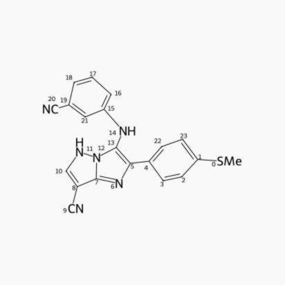 CSc1ccc(-c2nc3c(C#N)c[nH]n3c2Nc2cccc(C#N)c2)cc1